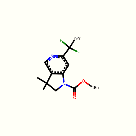 CCCC(F)(F)c1cc2c(cn1)C(C)(C)CN2C(=O)OC(C)(C)C